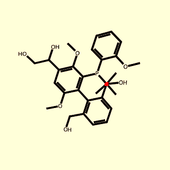 COc1ccccc1P(c1c(OC)c(C(O)CO)cc(OC)c1-c1c(CO)cccc1CO)C(C)(C)C